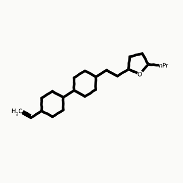 C=CC1CCC(C2CCC(CCC3CCC(CCC)O3)CC2)CC1